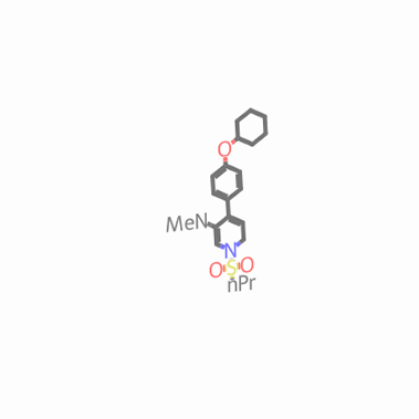 CCCS(=O)(=O)N1C=C(NC)C(c2ccc(OC3CCCCC3)cc2)=CC1